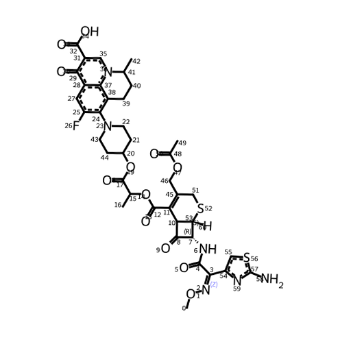 CO/N=C(\C(=O)N[C@@H]1C(=O)C2C(C(=O)OC(C)C(=O)OC3CCN(c4c(F)cc5c(=O)c(C(=O)O)cn6c5c4CCC6C)CC3)=C(COC(C)=O)CS[C@@H]21)c1csc(N)n1